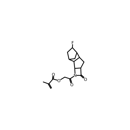 C=C(C)C(=O)OCC(=O)N1C(=O)C2CC3C4CC(CC4F)C3C21